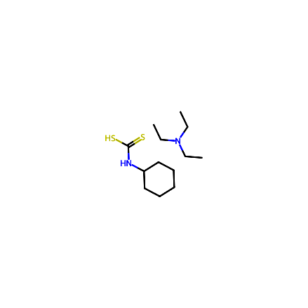 CCN(CC)CC.S=C(S)NC1CCCCC1